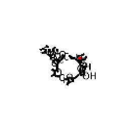 C=C1C(C)CC2CC[C@@H]3OC(CC[C@]45C[C@@H](O)C(O4)[C@H]4CC(O5)C(O[Si](CC)(CC)CC)[C@H](C/C=C/CC(=O)CC5C(CC1O2)O[C@H](CC(CO[Si](CC)(CC)CC)O[Si](CC)(CC)CC)[C@@H]5OC)O4)CC3=C